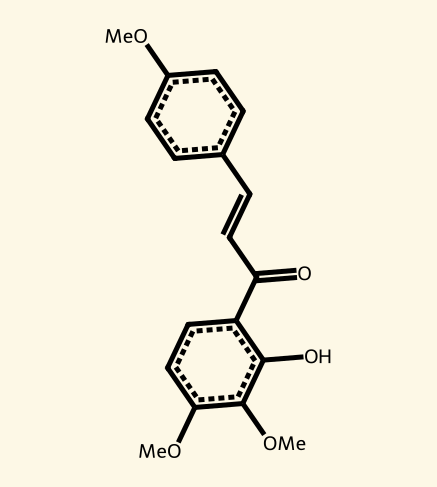 COc1ccc(C=CC(=O)c2ccc(OC)c(OC)c2O)cc1